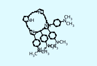 CN(C)c1ccc(C2=Cc3cc4ccc(cc5nc(cc6[nH]c(c(-c7ccc(N(C)C)cc7)c2n3)c(-c2ccc(N(C)C)cc2)c6-c2ccc(N(C)C)cc2)C=C5)[nH]4)cc1